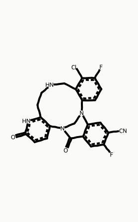 N#Cc1cc2c(cc1F)C(=O)N1CN2c2ccc(F)c(Cl)c2CNCCc2[nH]c(=O)ccc21